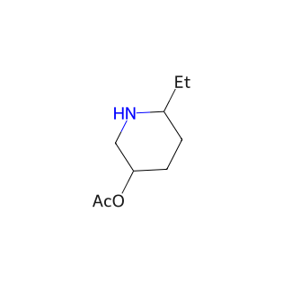 CCC1CCC(OC(C)=O)CN1